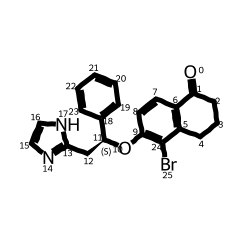 O=C1CCCc2c1ccc(O[C@@H](Cc1ncc[nH]1)c1ccccc1)c2Br